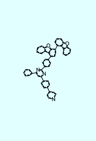 c1ccc(-c2cc(-c3ccc(-c4ccncc4)cc3)nc(-c3ccc(-c4ccc(-c5cccc6oc7ccccc7c56)c5oc6ccccc6c45)cc3)n2)cc1